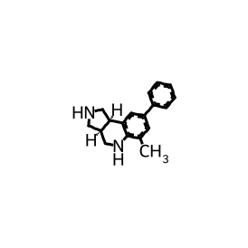 Cc1cc(-c2ccccc2)cc2c1NC[C@H]1CNC[C@@H]21